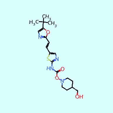 CC(C)(C)c1cnc(/C=C/c2cnc(NC(=O)ON3CCC(CO)CC3)s2)o1